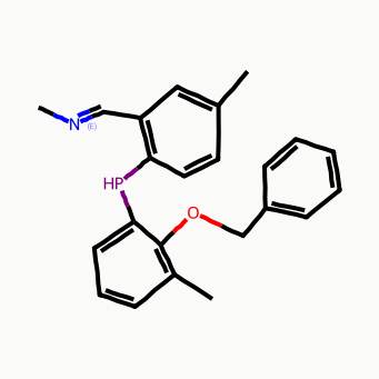 C/N=C/c1cc(C)ccc1Pc1cccc(C)c1OCc1ccccc1